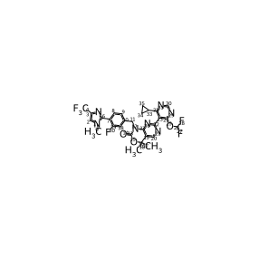 Cn1cc(C(F)(F)F)nc1-c1ccc(CN2C(=O)OC(C)(C)c3cnc(-c4c(OC(F)F)ncnc4C4CC4)nc32)cc1F